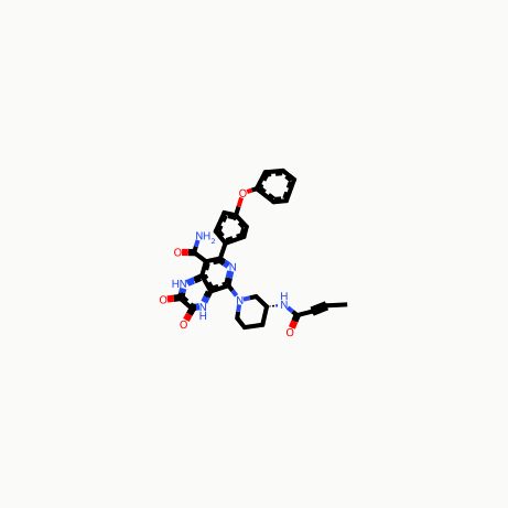 CC#CC(=O)N[C@@H]1CCCN(c2nc(-c3ccc(Oc4ccccc4)cc3)c(C(N)=O)c3[nH]c(=O)c(=O)[nH]c23)C1